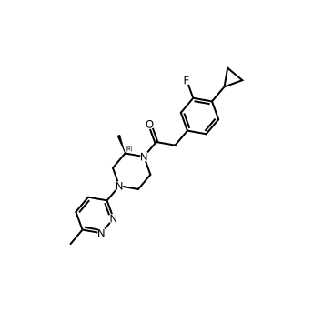 Cc1ccc(N2CCN(C(=O)Cc3ccc(C4CC4)c(F)c3)[C@H](C)C2)nn1